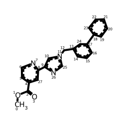 COC(=O)c1ccnc(-c2cn(Cc3cccc(-c4ccccc4)c3)cn2)c1